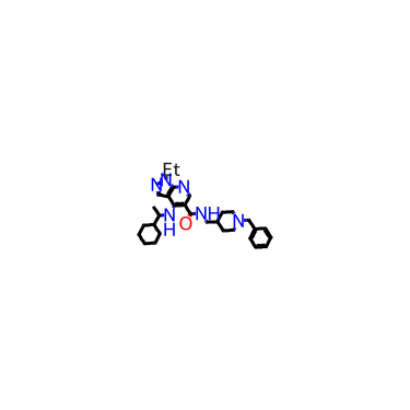 CCn1ncc2c(NC(C)C3CCCCC3)c(C(=O)NCC3CCN(Cc4ccccc4)CC3)cnc21